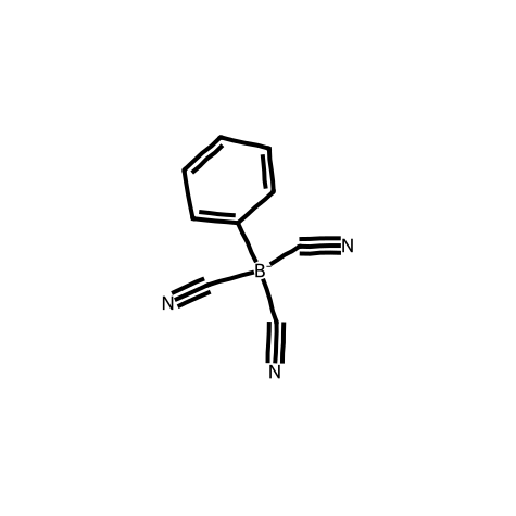 N#C[B-](C#N)(C#N)c1ccccc1